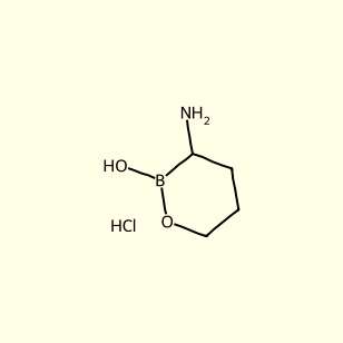 Cl.NC1CCCOB1O